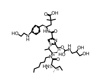 CCCCCCN(C(=O)[C@@H](NC)[C@@H](C)CC)[C@H](C[C@@H](OC(O)NCC(O)CO)c1nc(C(=O)N[C@@H](Cc2ccc(NCCO)cc2)CC(C)(C)C(=O)O)cs1)C(C)C